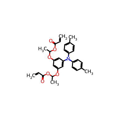 C=CC(=O)OC(C)Oc1cc(OC(C)OC(=O)C=C)cc(N(c2ccc(C)cc2)c2ccc(C)cc2)c1